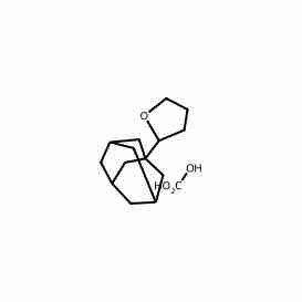 C1COC(C23CC4CC(CC(C4)C2)C3)C1.O=C(O)O